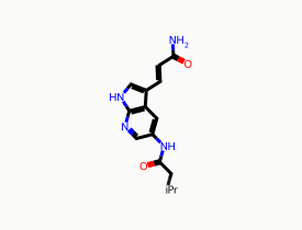 CC(C)CC(=O)Nc1cnc2[nH]cc(C=CC(N)=O)c2c1